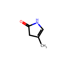 CC1=CNC(=O)C1